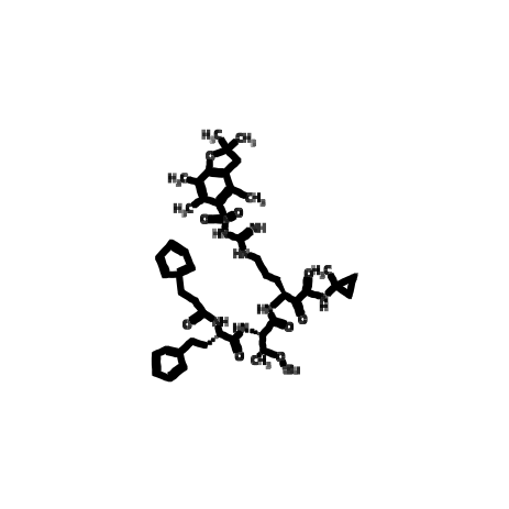 Cc1c(C)c(S(=O)(=O)NC(=N)NCCC[C@H](NC(=O)[C@@H](NC(=O)[C@H](CCc2ccccc2)NC(=O)CCc2ccccc2)[C@@H](C)OC(C)(C)C)C(=O)C(=O)NC2(C)CC2)c(C)c2c1OC(C)(C)C2